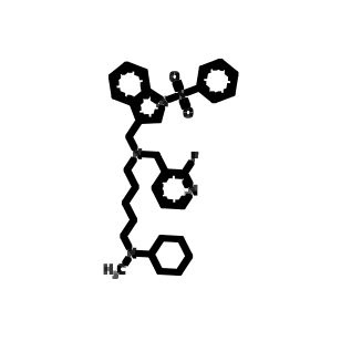 CN(CCCCCN(Cc1cccnc1F)Cc1cn(S(=O)(=O)c2ccccc2)c2ccccc12)C1CCCCC1